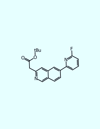 CC(C)(C)OC(=O)Cc1cc2cc(-c3cccc(F)n3)ccc2cn1